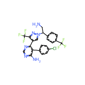 NCC(c1ccc(C(F)(F)F)cc1)n1cc(-c2ncnc(N)c2-c2ccc(Cl)cc2)c(C(F)(F)F)n1